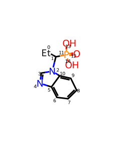 [CH2]CC(n1cnc2ccccc21)P(=O)(O)O